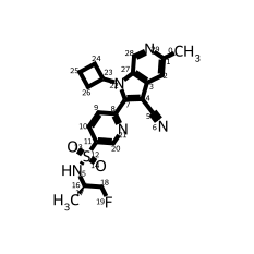 Cc1cc2c(C#N)c(-c3ccc(S(=O)(=O)N[C@H](C)CF)cn3)n(C3CCC3)c2cn1